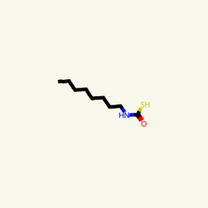 CCCCCCCCNC(=O)S